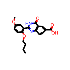 CCCCOc1ccc(OC)cc1-c1nc2ccc(C(=O)O)cc2c(=O)[nH]1